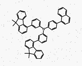 CC1(C)c2ccccc2-c2c(-c3cccc(N(c4ccc(-c5cccc6ccccc56)cc4)c4cccc(-c5cccc6c5-c5ccccc5C6(C)C)c4)c3)cccc21